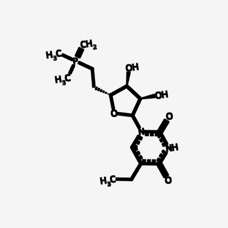 C=P(C)(C)CC[C@H]1OC(n2cc(CC)c(=O)[nH]c2=O)[C@H](O)[C@@H]1O